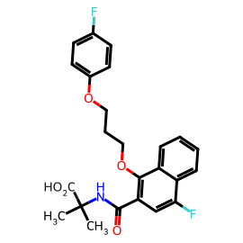 CC(C)(NC(=O)c1cc(F)c2ccccc2c1OCCCOc1ccc(F)cc1)C(=O)O